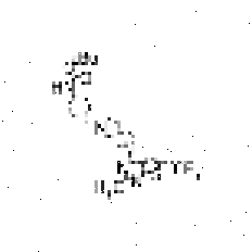 Cc1nc(N2CCC3(CCN(C[C@H]4CC[C@H](NC(=O)OC(C)(C)C)CC4)C3)C2)c2cc(CC(F)(F)F)sc2n1